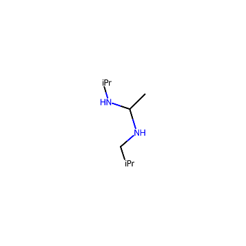 CC(C)CNC(C)NC(C)C